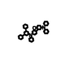 c1ccc(-c2cc(-c3ccccc3)cc(N(c3ccccc3)c3ccc4c(c3)oc3ccc(N(c5ccccc5)c5ccccc5)cc34)c2)cc1